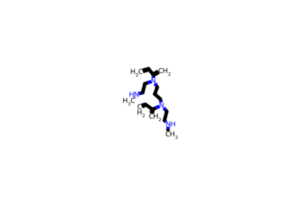 C=CC(=C)N(CCCN(CCNC)C(=C)C=C)CCNC